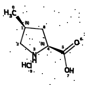 C[C@@H]1CN[C@H](C(=O)O)C1.Cl